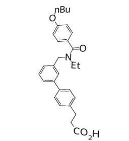 CCCCOc1ccc(C(=O)N(CC)Cc2cccc(-c3ccc(CCC(=O)O)cc3)c2)cc1